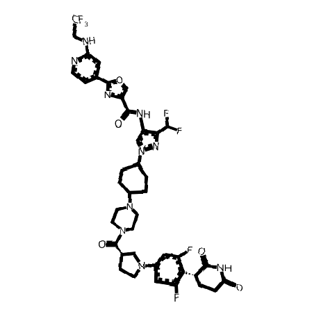 O=C1CC[C@H](c2c(F)cc(N3CC[C@@H](C(=O)N4CCN(C5CCC(n6cc(NC(=O)c7coc(-c8ccnc(NCC(F)(F)F)c8)n7)c(C(F)F)n6)CC5)CC4)C3)cc2F)C(=O)N1